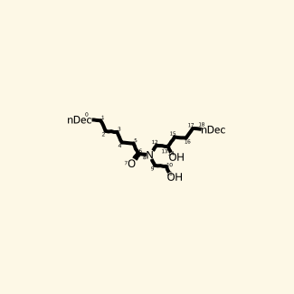 CCCCCCCCCCCCCCCC(=O)N(CCO)CC(O)CCCCCCCCCCCCC